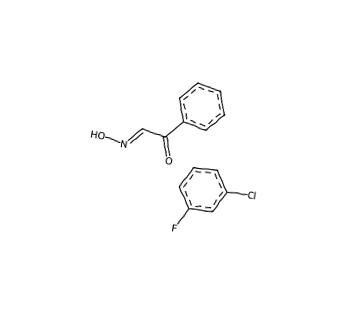 Fc1cccc(Cl)c1.O=C(C=NO)c1ccccc1